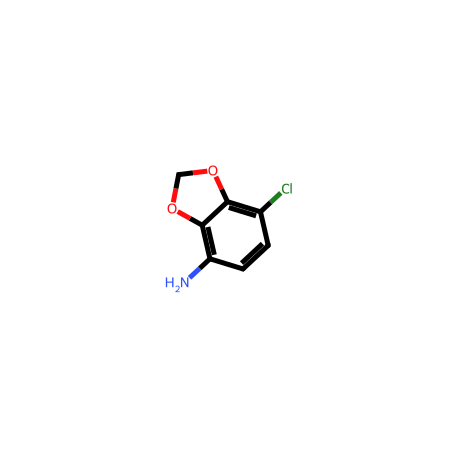 Nc1ccc(Cl)c2c1OCO2